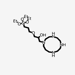 CCO[Si](CCCOCC(O)CN1CCCNCCNCCNCC1)(OCC)OCC